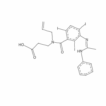 C=CCN(CCC(=O)O)C(=O)c1c(I)cc(I)c(N=C(C)Nc2ccccc2)c1I